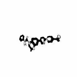 CC(=O)C1CCN(c2ccc(-c3ccc4c(c3)OC(C)CN4C(=O)Nc3ccccc3)cn2)CC1